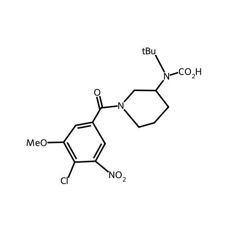 COc1cc(C(=O)N2CCCC(N(C(=O)O)C(C)(C)C)C2)cc([N+](=O)[O-])c1Cl